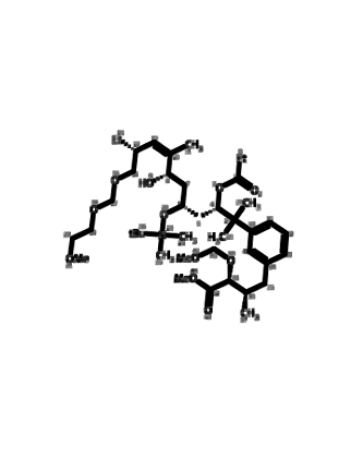 CCC(=O)O[C@@H](C[C@@H](C[C@H](O)/C(C)=C\[C@@H](CC)COCOCCOC)O[Si](C)(C)C(C)(C)C)C(C)(C)c1cccc(C[C@@H](C)[C@H](OCOC)C(=O)OC)c1